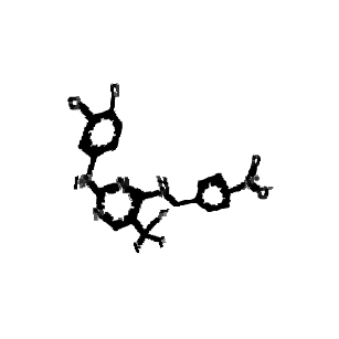 O=[N+]([O-])c1ccc(CNc2nc(Nc3ccc(Cl)c(Cl)c3)ncc2C(F)(F)F)cc1